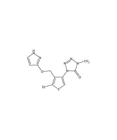 CCc1scc(-n2nnn(C)c2=O)c1COc1cc[nH]n1